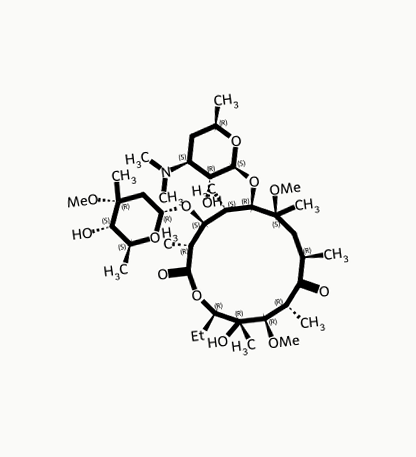 CC[C@H]1OC(=O)[C@H](C)[C@@H](O[C@H]2C[C@@](C)(OC)[C@@H](O)[C@H](C)O2)[C@H](C)[C@@H](O[C@@H]2O[C@H](C)C[C@H](N(C)C)[C@H]2O)[C@@](C)(OC)C[C@@H](C)C(=O)[C@H](C)[C@@H](OC)[C@]1(C)O